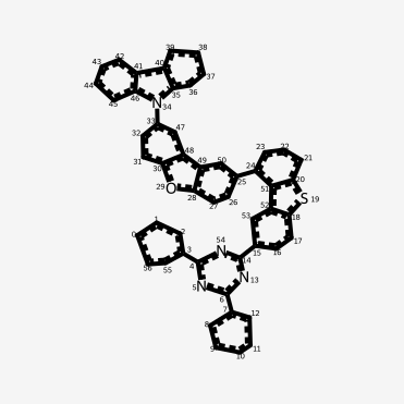 c1ccc(-c2nc(-c3ccccc3)nc(-c3ccc4sc5cccc(-c6ccc7oc8ccc(-n9c%10ccccc%10c%10ccccc%109)cc8c7c6)c5c4c3)n2)cc1